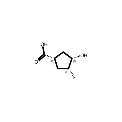 O=C(O)[C@H]1C[C@@H](F)[C@@H](O)C1